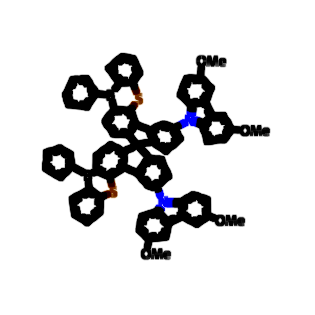 COc1ccc2c(c1)c1cc(OC)ccc1n2-c1ccc2c(c1)-c1c(ccc3c1Sc1ccccc1B3c1ccccc1)C21c2ccc(-n3c4ccc(OC)cc4c4cc(OC)ccc43)cc2-c2c1ccc1c2Sc2ccccc2B1c1ccccc1